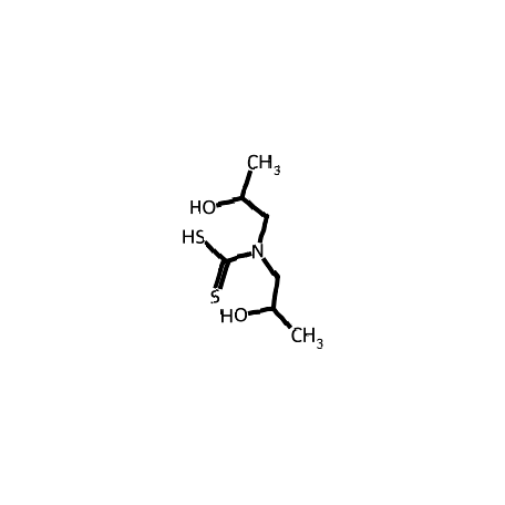 CC(O)CN(CC(C)O)C(=S)S